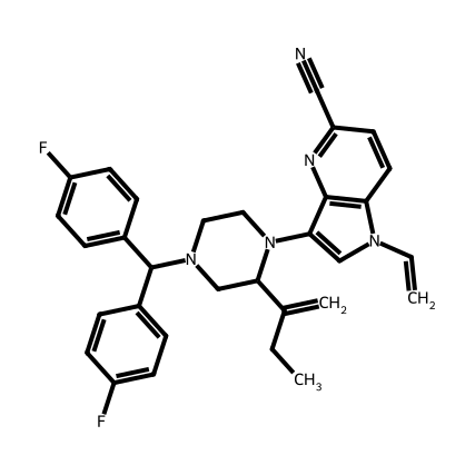 C=Cn1cc(N2CCN(C(c3ccc(F)cc3)c3ccc(F)cc3)CC2C(=C)CC)c2nc(C#N)ccc21